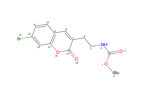 CC(C)(C)OC(=O)NCCc1cc2ccc(Br)cc2oc1=O